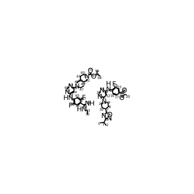 CC(C)c1noc(C2CCN(c3cc(Nc4ccc(S(C)(=O)=O)cc4F)ncn3)CC2)n1.CCNC(=N)c1cc(F)c(Nc2cc(N(CC)CC3CCN(C(=O)OC(C)C)CC3)ncn2)cc1F